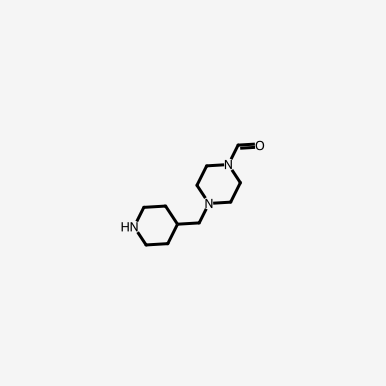 O=CN1CCN(CC2CCNCC2)CC1